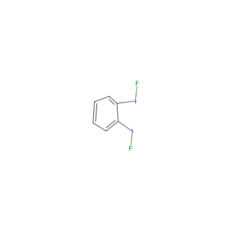 F[I]c1ccccc1[I]F